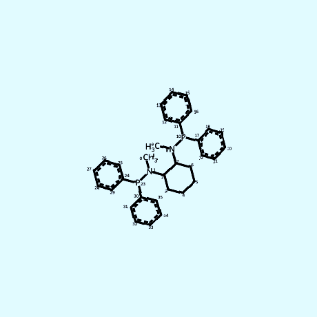 CN(C1CCCCC1N(C)P(c1ccccc1)c1ccccc1)P(c1ccccc1)c1ccccc1